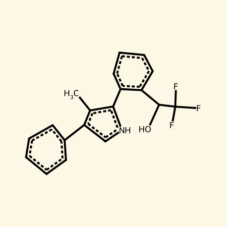 Cc1c(-c2ccccc2)c[nH]c1-c1ccccc1C(O)C(F)(F)F